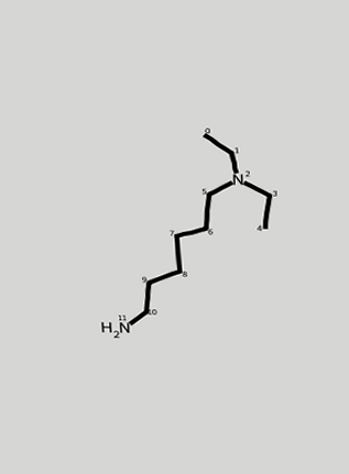 CCN(CC)CCCCCCN